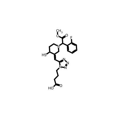 COC(=O)C(c1ccccc1F)N1CCC(S)C(=Cc2nnnn2CCCC(=O)O)C1